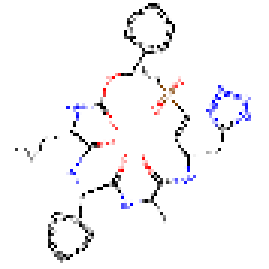 CC(C)C(NC(=O)[C@@H](NC(=O)[C@H](CC(=O)O)NC(=O)OCc1ccccc1)c1ccccc1)C(=O)N[C@H](/C=C/S(C)(=O)=O)Cc1nnn[nH]1